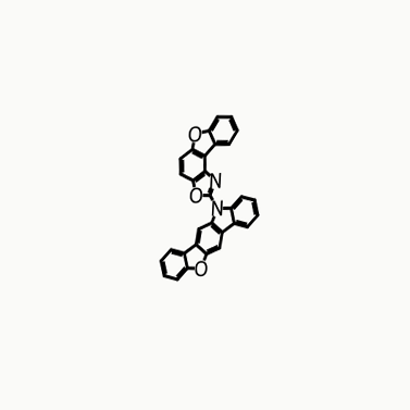 c1ccc2c(c1)oc1cc3c4ccccc4n(-c4nc5c(ccc6oc7ccccc7c65)o4)c3cc12